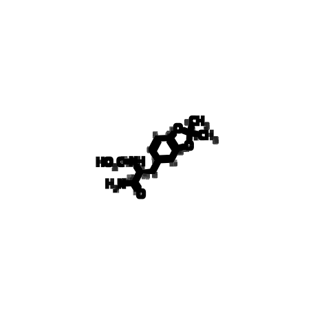 CC1(C)Oc2ccc(C[C@H](NC(=O)O)C(N)=O)cc2O1